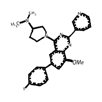 COc1cc(-c2ccc(F)cc2)cc2c(N3CCC(N(C)C)C3)nc(-c3cccnc3)nc12